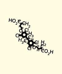 C=C(CCOc1c(Cl)cc(C(C)(C)c2cc(Cl)c(OCCC(=C)C(=O)O)c(Cl)c2)cc1Cl)C(=O)O